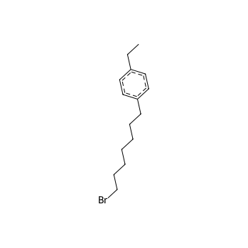 CCc1ccc(CCCCCCCBr)cc1